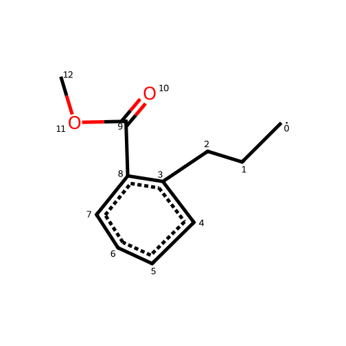 [CH2]CCc1ccccc1C(=O)OC